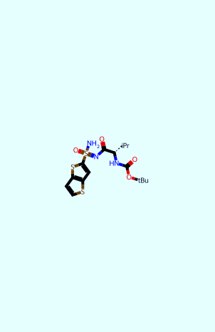 CC(C)[C@H](NC(=O)OC(C)(C)C)C(=O)N=S(N)(=O)c1cc2sccc2s1